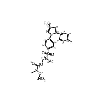 CC(=O)N(COC(=O)C(C)O[N+](=O)[O-])S(=O)(=O)c1ccc(-n2nc(C(F)(F)F)cc2-c2ccc(C)cc2)cc1